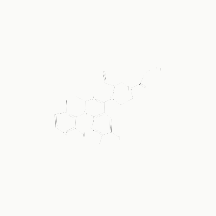 C=CC1CN(C(=O)OC(C)(C)C)CCN1C1=NC(C)N(c2c(C)ccnc2C(C)C)c2nc(Cl)c(F)cc21